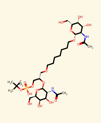 CC(=O)N[C@H]1[C@H](OCCCCCCCOC[C@@H](COP(=O)(O)OC(C)(C)C)O[C@@H]2O[C@H](CO)[C@H](O)[C@H](O)[C@H]2NC(C)=O)O[C@H](CO)[C@H](O)[C@@H]1O